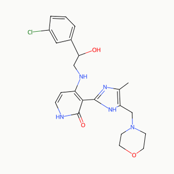 Cc1nc(-c2c(NCC(O)c3cccc(Cl)c3)cc[nH]c2=O)[nH]c1CN1CCOCC1